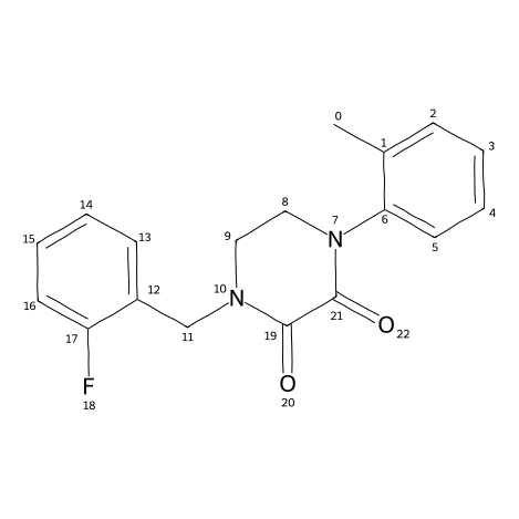 Cc1ccccc1N1CCN(Cc2ccccc2F)C(=O)C1=O